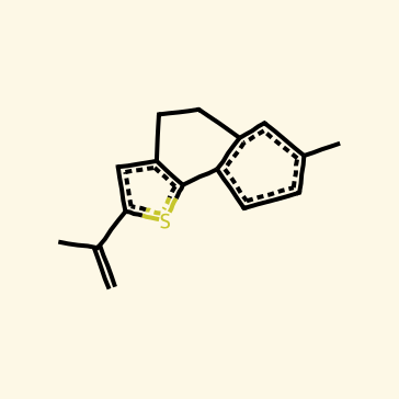 C=C(C)c1cc2c(s1)-c1ccc(C)cc1CC2